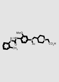 COc1cc(N(CC2CCN(CC(=O)O)CC2)C(C)=O)ccc1NC(=O)Nc1ccccc1C